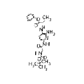 CCC(N=Nc1ccc(NC(=O)CNC(=O)OC(C)(C)C)nc1N)C(=O)Oc1ccccc1